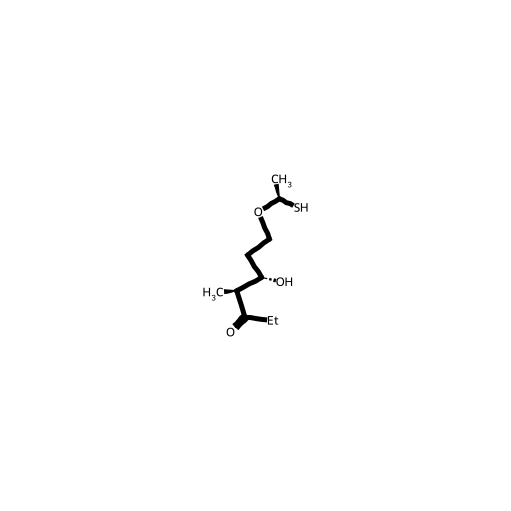 CCC(=O)[C@@H](C)[C@@H](O)CCO[C@@H](C)S